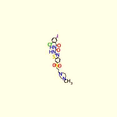 CN1CCCN(CCCS(=O)(=O)c2ccc3nc(NC(=O)NC(=O)c4cc(I)ccc4Cl)sc3c2)CC1